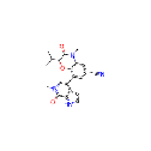 CC(C)C1Oc2c(-c3cn(C)c(=O)c4[nH]ccc34)cc(C#N)cc2N(C)C1=O